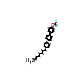 CCCCCCCC[C@H]1CC[C@H](c2ccc(-c3ccc(OC(F)F)cc3)cc2)CC1